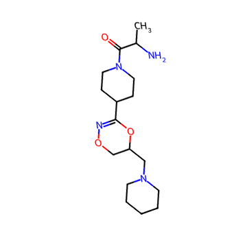 CC(N)C(=O)N1CCC(C2=NOCC(CN3CCCCC3)O2)CC1